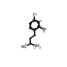 N#CC(N)CCc1ccc(F)cc1Br